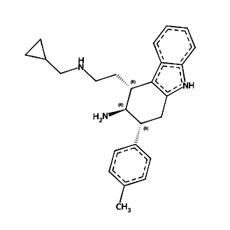 Cc1ccc([C@H]2Cc3[nH]c4ccccc4c3[C@@H](CCNCC3CC3)[C@@H]2N)cc1